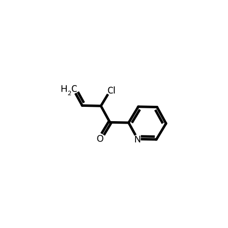 C=CC(Cl)C(=O)c1ccccn1